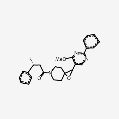 COc1nc(-c2ccccc2)ncc1C1OC12CCN(C(=O)C[C@@H](C)c1ccccc1)CC2